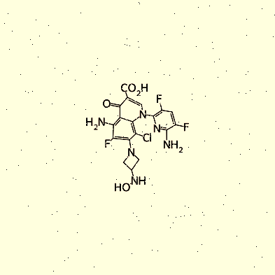 Nc1nc(-n2cc(C(=O)O)c(=O)c3c(N)c(F)c(N4CC(NO)C4)c(Cl)c32)c(F)cc1F